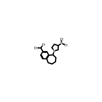 CCC(CC)c1ccc2c(c1)C(N1CCC(N(CC)CC)C1)CCCC2